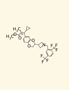 COC(=O)[C@@H](C)C(c1ccc2c(c1)OC(C1CN(Cc3cc(C(F)(F)F)ccc3C(F)(F)F)C1)CO2)C1CC1